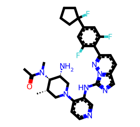 CC(=O)N(C)[C@@H]1[C@H](N)CN(c2ccncc2Nc2ncc3ccc(-c4c(F)cc(C5(F)CCCC5)cc4F)nn23)C[C@@H]1C